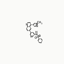 Cn1cc(-c2ccnc3ccc(-c4cncc(NS(=O)(=O)c5ccccc5)c4)cc23)cn1